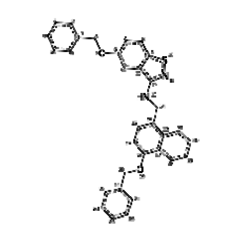 c1ccc(COc2ccc3snc(NCc4ccc(OCc5ccccc5)c5ccccc45)c3c2)cc1